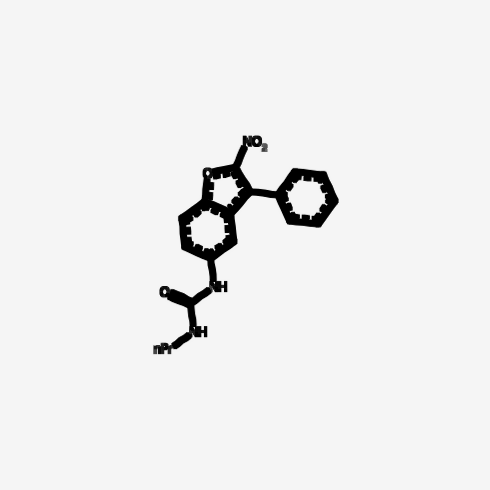 CCCNC(=O)Nc1ccc2oc([N+](=O)[O-])c(-c3ccccc3)c2c1